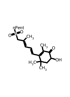 CCCCCS(=O)(=O)C/C(C)=C/C=C/C1=C(C)C(=O)C(O)CC1(C)C